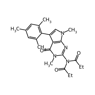 CCC(=O)N(C(=O)CC)c1nc2c(c(-c3c(C)cc(C)cc3C)cn2C)c(=O)n1C